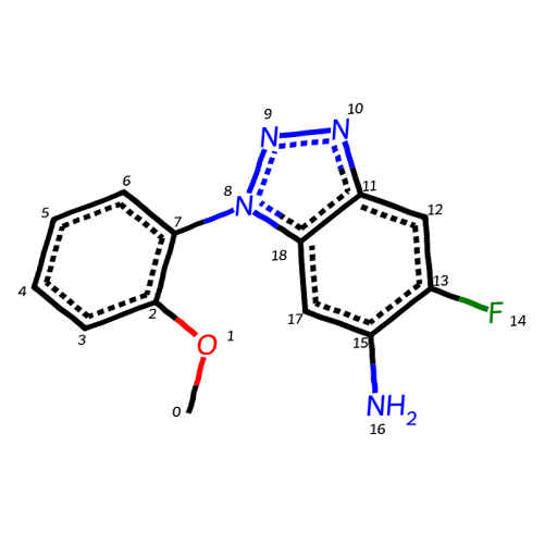 COc1ccccc1-n1nnc2cc(F)c(N)cc21